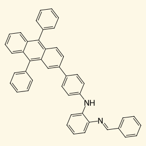 C(=N\c1ccccc1Nc1ccc(-c2ccc3c(-c4ccccc4)c4ccccc4c(-c4ccccc4)c3c2)cc1)/c1ccccc1